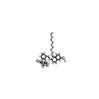 CCCCCCCCCC[n+]1c(C=Cc2cccc([N+](=O)[O-])c2O[Cl+3]([O-])([O-])[O-])ccc2cc(OC)ccc21